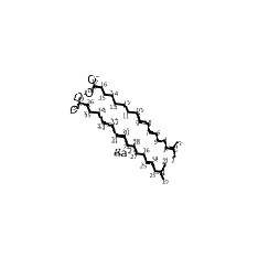 CC(C)CCCCCCCCCCCCCCC(=O)[O-].CC(C)CCCCCCCCCCCCCCC(=O)[O-].[Ba+2]